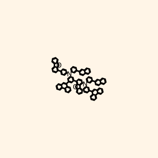 c1cc(-c2ccc3ccccc3c2)cc(N(c2ccc(-c3cccc4c3oc3ccccc34)cc2)c2cc(-c3cc4ccccc4c4ccccc34)cc(-c3ccc(N(c4cccc(-c5ccc6ccccc6c5)c4)c4cccc(-c5cc6ccccc6c6ccccc56)c4)c4c3oc3ccccc34)c2)c1